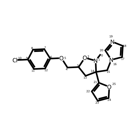 CN1OC(COc2ccc(Cl)cc2)CC1(Cn1ccnc1)c1ccco1